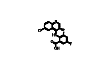 Cc1cc(F)cc(C(=O)O)c1Nc1c(Br)cnc2ccc(Cl)cc12